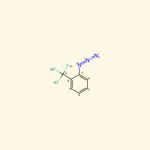 [N-]=[N+]=Nc1ccccc1C(F)(F)F